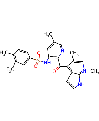 Cc1cnc(C(=O)c2c(C)c[n+](C)c3[nH]ccc23)c(NS(=O)(=O)c2ccc(C)c(C(F)(F)F)c2)c1